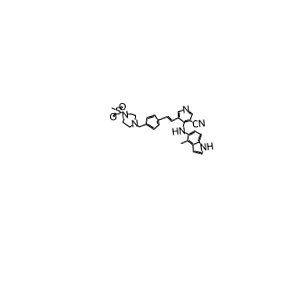 Cc1c(Nc2c(C#N)cncc2C=Cc2ccc(CN3CCN(S(C)(=O)=O)CC3)cc2)ccc2[nH]ccc12